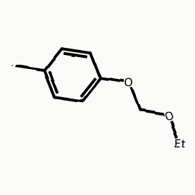 [CH2]c1ccc(OCOCC)cc1